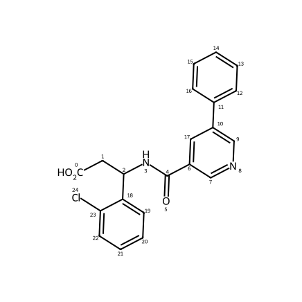 O=C(O)CC(NC(=O)c1cncc(-c2ccccc2)c1)c1ccccc1Cl